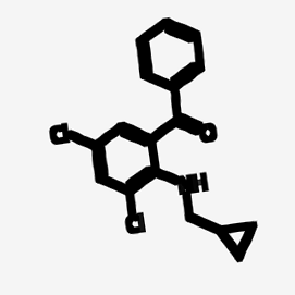 O=C(c1ccccc1)c1cc(Cl)cc(Cl)c1NCC1CC1